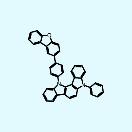 c1ccc(-n2c3ccccc3c3c2ccc2c4ccccc4n(-c4ccc(-c5ccc6oc7ccccc7c6c5)cc4)c23)cc1